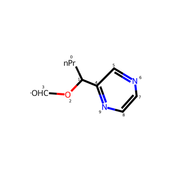 CCCC(O[C]=O)c1cnccn1